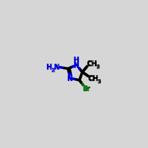 CC1(C)NC(N)=NC1Br